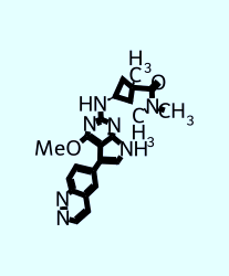 COc1nc(N[C@H]2C[C@](C)(C(=O)N(C)C)C2)nc2[nH]cc(-c3ccc4nnccc4c3)c12